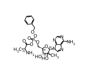 C[C@H](N)C(=O)OP(=O)(OC[C@H]1O[C@@H](n2cnc3c(N)ncnc32)[C@](C)(O)[C@@H]1O)OOCc1ccccc1